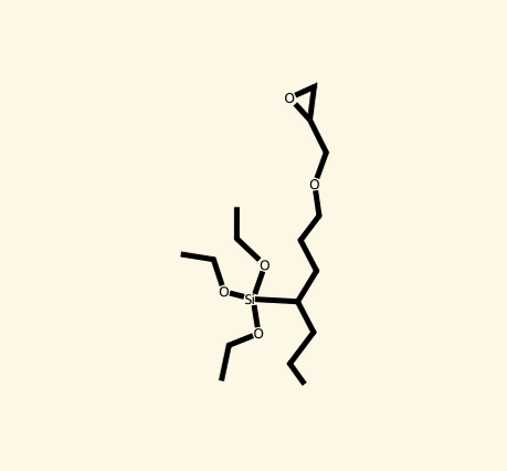 CCCC(CCCOCC1CO1)[Si](OCC)(OCC)OCC